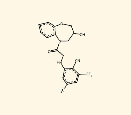 N#Cc1c(C(F)(F)F)cc(C(F)(F)F)nc1NCC(=O)N1CC(O)COc2ccccc21